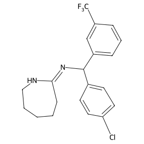 FC(F)(F)c1cccc(C(N=C2CCCCCN2)c2ccc(Cl)cc2)c1